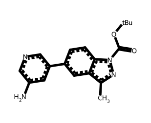 Cc1nn(C(=O)OC(C)(C)C)c2ccc(-c3cncc(N)c3)cc12